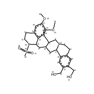 CCC1CN2CCc3cc(CO)c(CO)cc3C2CC1CC1c2cc(OC)c(OC)cc2CCN1S(C)(=O)=O